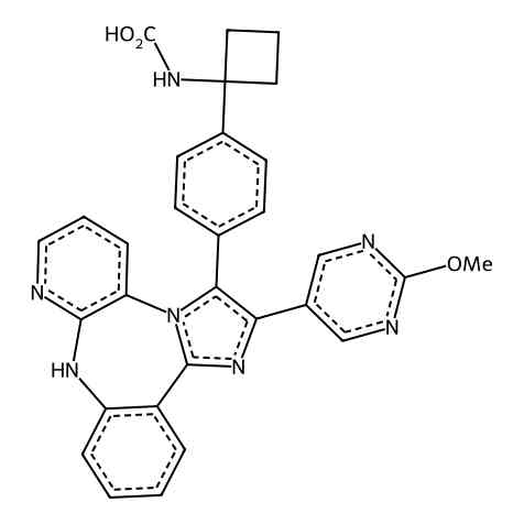 COc1ncc(-c2nc3n(c2-c2ccc(C4(NC(=O)O)CCC4)cc2)-c2cccnc2Nc2ccccc2-3)cn1